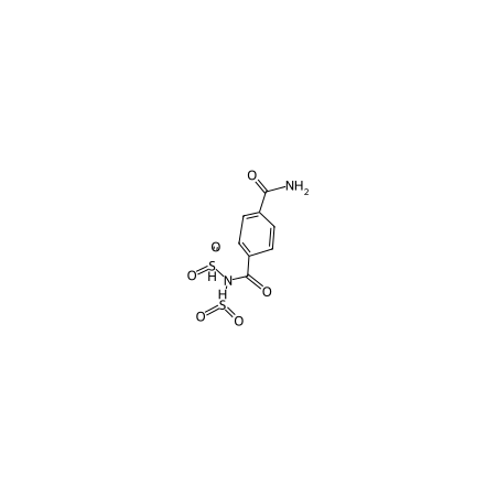 NC(=O)c1ccc(C(=O)N([SH](=O)=O)[SH](=O)=O)cc1